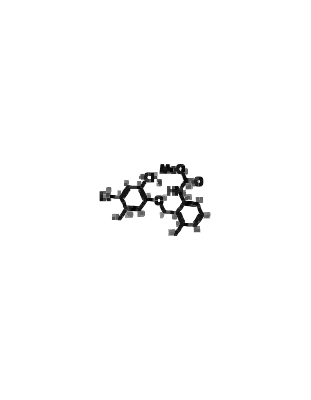 CCc1cc(C(F)(F)F)c(OCc2c(C)cccc2NC(=O)OC)cc1C